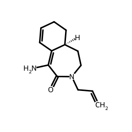 C=CCN1CC[C@@H]2CCC=CC2=C(N)C1=O